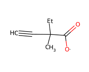 C#CC(C)(CC)C([O])=O